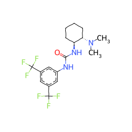 CN(C)[C@H]1CCCC[C@@H]1NC(=O)Nc1cc(C(F)(F)F)cc(C(F)(F)F)c1